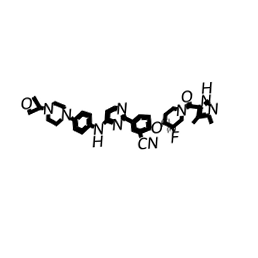 Cc1n[nH]c(C(=O)N2CC[C@H](Oc3ccc(-c4nccc(Nc5ccc(N6CCN(C7COC7)CC6)cc5)n4)cc3C#N)[C@H](F)C2)c1C